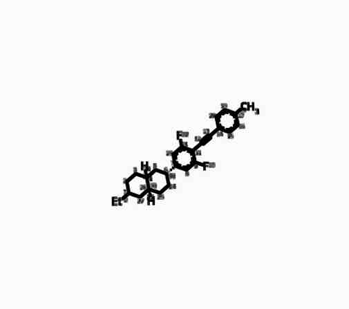 CCC1CC[C@@H]2C[C@H](c3cc(F)c(C#Cc4ccc(C)cc4)c(F)c3)CC[C@@H]2C1